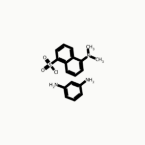 CN(C)c1cccc2c(S(=O)(=O)Cl)cccc12.Nc1cccc(N)c1